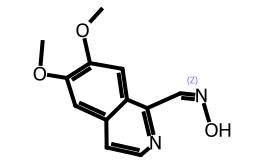 COc1cc2ccnc(/C=N\O)c2cc1OC